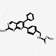 CSc1ncc2cc(-c3ccccc3)c(-c3ccc(CNC(=O)OC(C)(C)C)cc3)nc2n1